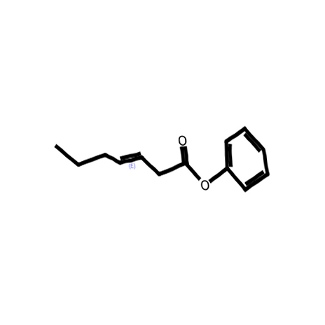 CCC/C=C/CC(=O)Oc1ccccc1